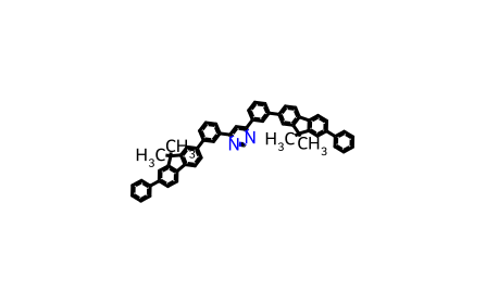 CC1(C)c2cc(-c3ccccc3)ccc2-c2ccc(-c3cccc(-c4cc(-c5cccc(-c6ccc7c(c6)C(C)(C)c6cc(-c8ccccc8)ccc6-7)c5)ncn4)c3)cc21